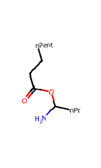 CCCCCCCC(=O)OC(N)CCC